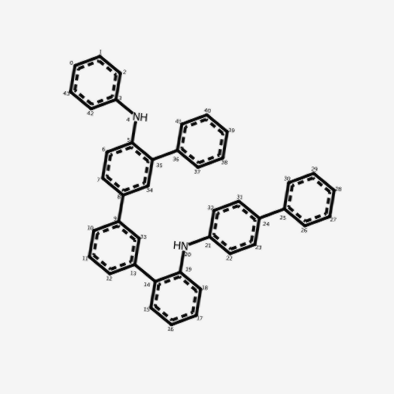 c1ccc(Nc2ccc(-c3cccc(-c4ccccc4Nc4ccc(-c5ccccc5)cc4)c3)cc2-c2ccccc2)cc1